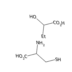 CCC(O)C(=O)O.NC(CS)C(=O)O